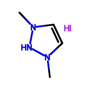 CN1C=CN(C)N1.I